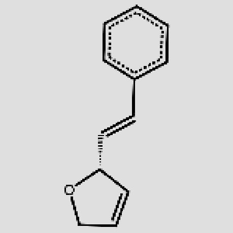 C1=C[C@@H](/C=C/c2ccccc2)OC1